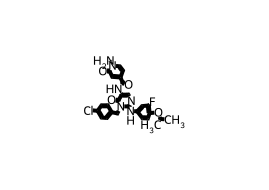 CC(C)Oc1ccc(Nc2ncc(NC(=O)c3ccn(N)c(=O)c3)c(=O)n2Cc2ccc(Cl)cc2)cc1F